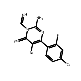 N=Cn1c(N)nc(-c2ccc(Cl)cc2F)c(Br)c1=N